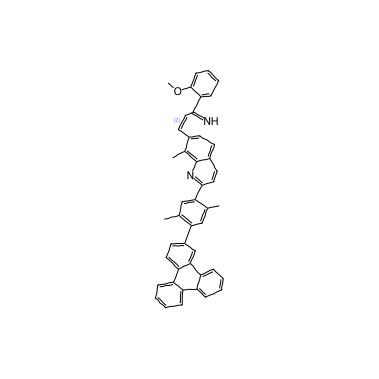 COc1ccccc1C(=N)/C=C\c1ccc2ccc(-c3cc(C)c(-c4ccc5c6ccccc6c6ccccc6c5c4)cc3C)nc2c1C